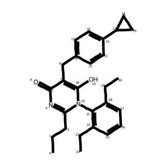 CCCc1nc(=O)c(Cc2ccc(C3CC3)cc2)c(O)n1-c1c(CC)cccc1CC